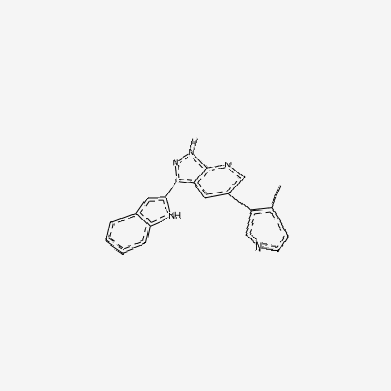 Cc1ccncc1-c1cnc2[nH]nc(-c3cc4ccccc4[nH]3)c2c1